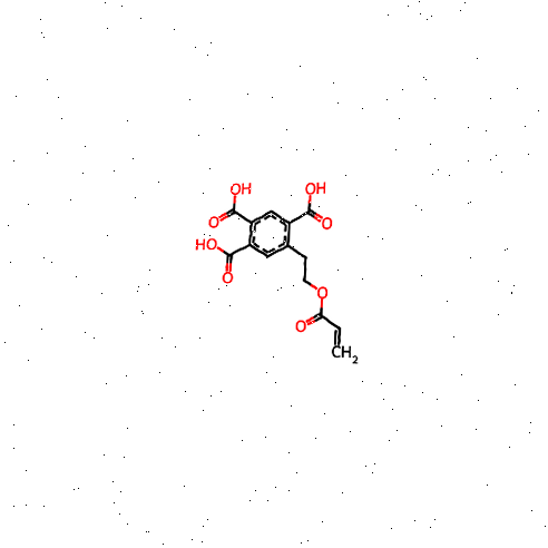 C=CC(=O)OCCc1cc(C(=O)O)c(C(=O)O)cc1C(=O)O